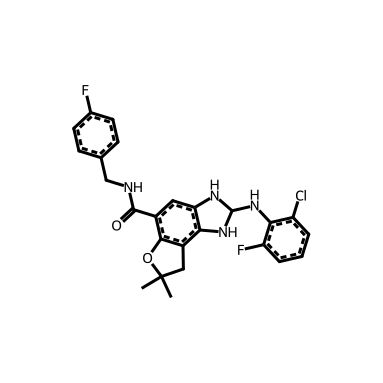 CC1(C)Cc2c3c(cc(C(=O)NCc4ccc(F)cc4)c2O1)NC(Nc1c(F)cccc1Cl)N3